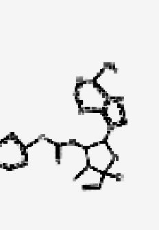 C=CC1(CC)OC(n2cnc3c(N)ncnc32)C(OC(=S)Oc2ccccc2)C1C